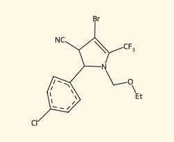 CCOCN1C(C(F)(F)F)=C(Br)C(C#N)C1c1ccc(Cl)cc1